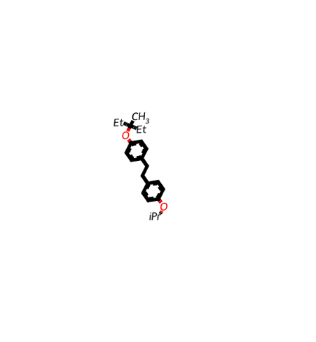 CCC(C)(CC)Oc1ccc(CCc2ccc(OC(C)C)cc2)cc1